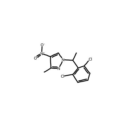 Cc1nn(C(C)c2c(Cl)cccc2Cl)cc1[N+](=O)[O-]